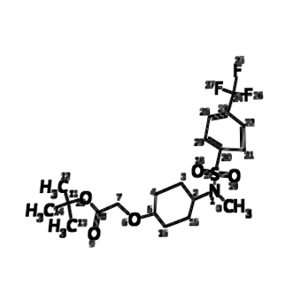 CN(C1CCC(OCC(=O)OC(C)(C)C)CC1)S(=O)(=O)c1ccc(C(F)(F)F)cc1